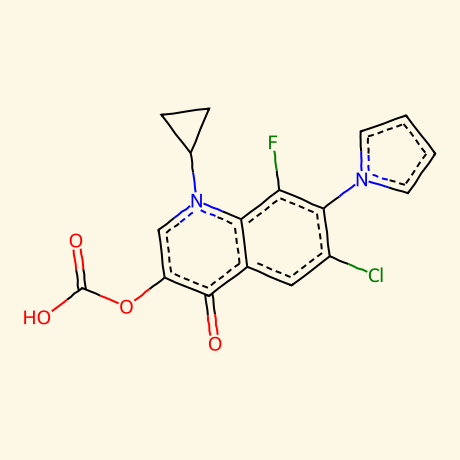 O=C(O)Oc1cn(C2CC2)c2c(F)c(-n3cccc3)c(Cl)cc2c1=O